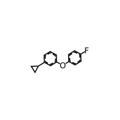 Fc1ccc(Oc2cccc(C3CC3)c2)cc1